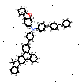 CC1(C)c2ccccc2-c2cc3c4ccccc4c4cc(-c5ccc(N(c6ccc(-c7ccc(-c8ccccc8)cc7)cc6)c6ccc7c(c6)oc6ccccc67)cc5)ccc4c3cc21